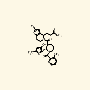 CCC[C@H]1N(C(=O)c2ncccc2C(F)(F)F)CCC[C@@]1(Oc1csc(C(F)(F)F)c1)C(=O)N1CCc2sc(Cl)cc2C1CCC(N)=O